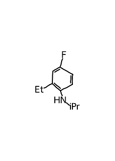 CCc1cc(F)ccc1NC(C)C